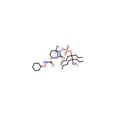 CCCCC(N)(CCC)C(CCC)(CCCC)OS(=O)(=O)ON1C(=O)N2C[C@@H]1CC[C@H]2C(=O)NOC1CCCCC1